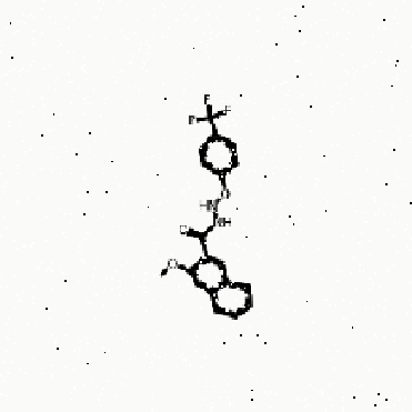 COc1cc2ccccc2cc1C(=O)NNOc1ccc(C(F)(F)F)cc1